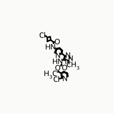 C[C@@H](OC(=O)Nc1c(-c2ccc(NC(=O)C3CC(Cl)C3)cn2)nnn1C)c1cccnc1Cl